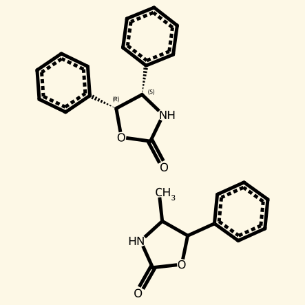 CC1NC(=O)OC1c1ccccc1.O=C1N[C@@H](c2ccccc2)[C@@H](c2ccccc2)O1